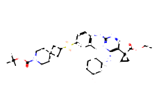 CCOC(=O)C1(c2cnc(Nc3ccc(S(=O)(=O)C4CC5(CCN(C(=O)OC(C)(C)C)CC5)C4)cc3C)nc2N[C@@H]2CCC[C@@H](O)C2)CC1